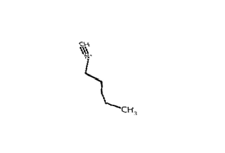 C#[N+]CCCC